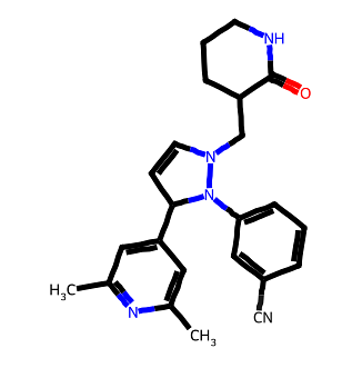 Cc1cc(C2C=CN(CC3CCCNC3=O)N2c2cccc(C#N)c2)cc(C)n1